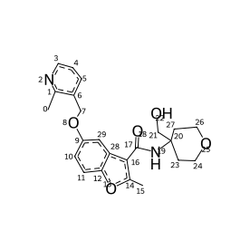 Cc1ncccc1COc1ccc2oc(C)c(C(=O)NC3(CO)CCOCC3)c2c1